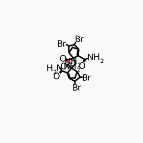 NC(=O)C1=C2CC(C(Br)C2Br)C1(CC1(C(N)=O)C(C(N)=O)=C2CC1C(Br)C2Br)C(N)=O